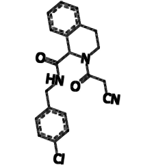 N#CCC(=O)N1CCc2c[c]ccc2C1C(=O)NCc1ccc(Cl)cc1